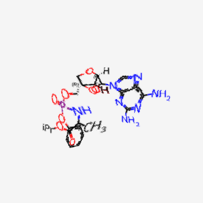 CC(C)OC(=O)C(C)NP(=O)(OC[C@@]12CO[C@@H](C(n3cnc4c(N)nc(N)nc43)O1)[C@@H]2O)Oc1ccccc1